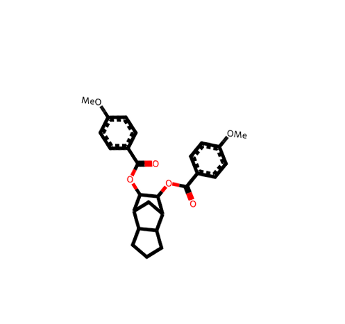 COc1ccc(C(=O)OC2C3CC(C4CCCC43)C2OC(=O)c2ccc(OC)cc2)cc1